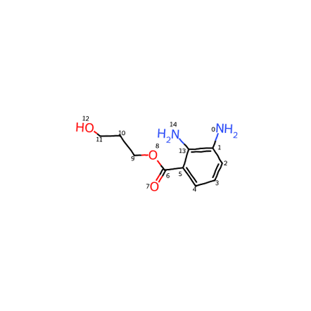 Nc1cccc(C(=O)OCCCO)c1N